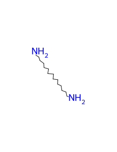 NCCCCCCCCCCCCCCCN